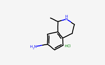 CC1NCCc2ccc(N)cc21.Cl